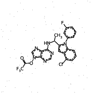 CC(Nc1ncnc2c1ncn2OC(=O)C(F)(F)F)c1cc2c(Cl)cccc2n1-c1cccc(F)c1